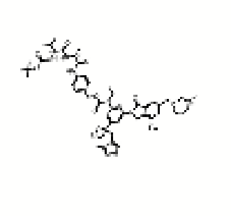 CCN(C(=O)OCc1ccc(NC(=O)[C@H](C)NC(=O)[C@@H](NC(=O)OC(C)(C)C)C(C)C)cc1)c1cc(C2(Cc3nncn3C)COC2)cc(N2Cc3c(SC)cc(CN4CCC[C@H](C)C4)cc3C2=O)n1